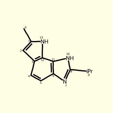 Cc1cc2ccc3nc(C(C)C)[nH]c3c2[nH]1